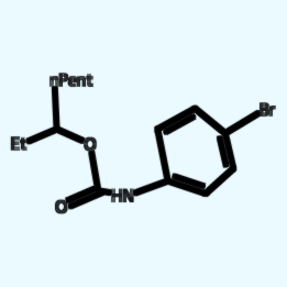 CCCCCC(CC)OC(=O)Nc1ccc(Br)cc1